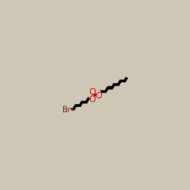 CCCCCC=CCCOC(=O)OCCCCCCBr